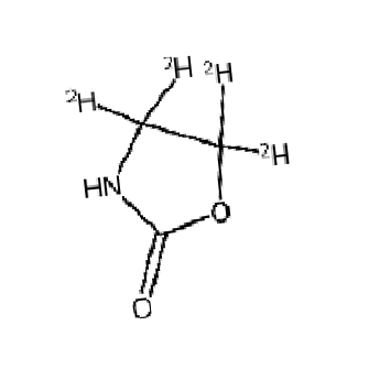 [2H]C1([2H])NC(=O)OC1([2H])[2H]